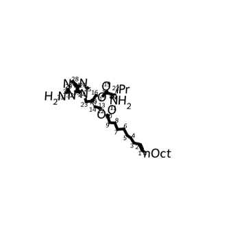 CCCCCCCCC=CCCCCCCCC(=O)OCC[C@@H](COC(=O)[C@@H](N)C(C)C)Cn1cnc2cnc(N)nc21